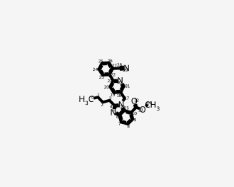 CCCCc1nc2cccc(C(=O)OC)c2n1Cc1ccc(-c2ccccc2C#N)nc1